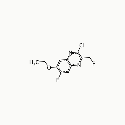 CCOc1cc2nc(Cl)c(CF)nc2cc1F